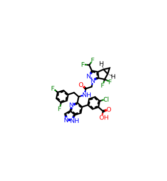 O=C(Cn1nc(C(F)F)c2c1C(F)(F)[C@@H]1C[C@H]21)NC(Cc1cc(F)cc(F)c1)c1nc2cn[nH]c2cc1-c1ccc(Cl)c(C(=O)O)c1